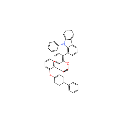 C1=C(c2ccccc2)CCC2=C1C1(c3ccccc3O2)c2ccccc2Oc2c(-c3cccc4c5ccccc5n(-c5ccccc5)c34)cccc21